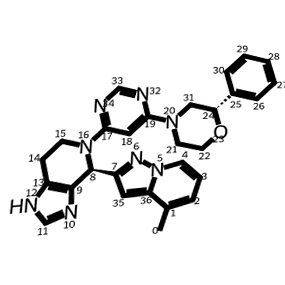 Cc1cccn2nc([C@H]3c4nc[nH]c4CCN3c3cc(N4CCO[C@@H](c5ccccc5)C4)ncn3)cc12